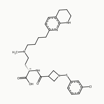 CN(CCCCc1ccc2c(n1)NCCC2)CC[C@H](NC(=O)C1CN(Sc2cccc(Cl)c2)C1)C(=O)O